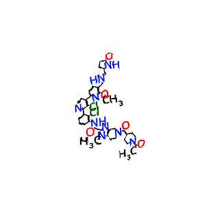 COc1nc(-c2ccnc(-c3cccc(NC(=O)c4nc5c(n4C)CCN(C(=O)C4CCN(C(C)=O)CC4)C5)c3Cl)c2Cl)ccc1CNC[C@H]1CCC(=O)N1